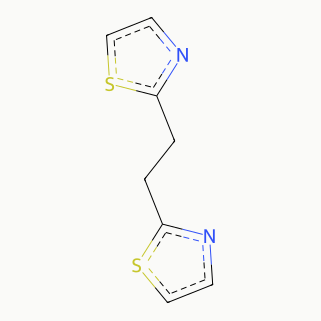 c1csc(CCc2nccs2)n1